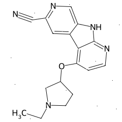 CCN1CCC(Oc2ccnc3[nH]c4cnc(C#N)cc4c23)C1